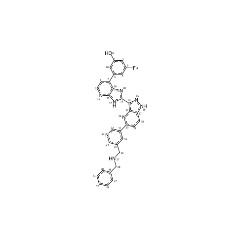 Oc1cc(F)cc(-c2ccnc3[nH]c(-c4n[nH]c5ccc(-c6cncc(CNCc7ccccc7)c6)nc45)nc23)c1